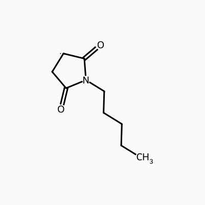 CCCCCN1C(=O)[CH]CC1=O